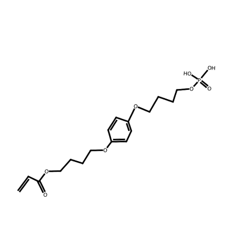 C=CC(=O)OCCCCOc1ccc(OCCCCOP(=O)(O)O)cc1